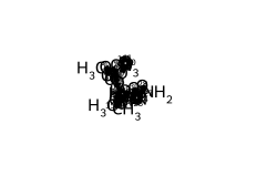 COC(=O)[C@H](C)N(Oc1ccccc1)[PH](=O)OC[C@H]1O[C@@H](n2ccnc(C(N)=O)c2=O)[C@@H]2OC(C)(C)O[C@@H]21